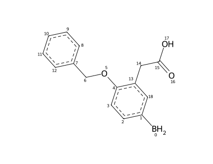 Bc1ccc(OCc2ccccc2)c(CC(=O)O)c1